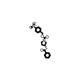 O=C(SC1CCN(C(=O)OCc2ccc([N+](=O)[O-])cc2)C1)c1ccccc1